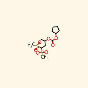 CC(CC(S(=O)(=O)C(F)(F)F)S(=O)(=O)C(F)(F)F)OC(=O)OC1CCCC1